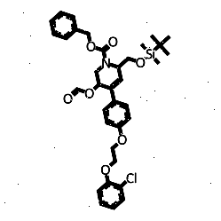 CC(C)(C)[Si](C)(C)OCC1C=C(c2ccc(OCCOc3ccccc3Cl)cc2)C(OC=O)CN1C(=O)OCc1ccccc1